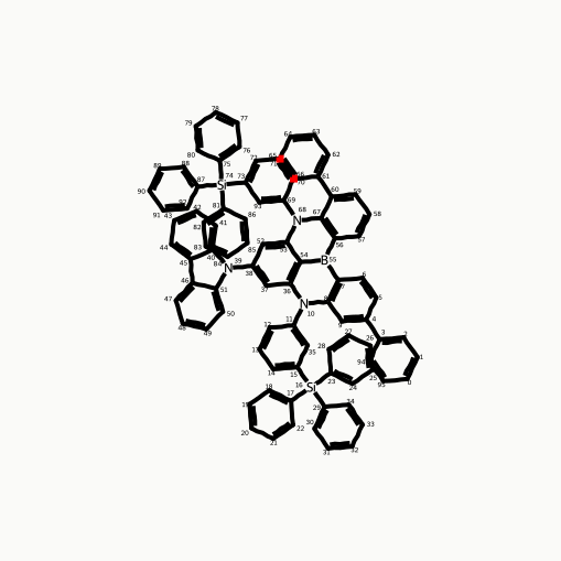 c1ccc(-c2ccc3c(c2)N(c2cccc([Si](c4ccccc4)(c4ccccc4)c4ccccc4)c2)c2cc(-n4c5ccccc5c5ccccc54)cc4c2B3c2cccc(-c3ccccc3)c2N4c2cccc([Si](c3ccccc3)(c3ccccc3)c3ccccc3)c2)cc1